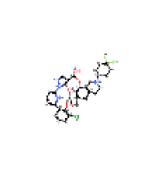 CCOc1c(C(=O)O)cnn1-c1cccc(-c2cccc(Cl)c2OCc2ccc3c(c2)CCN(C2CCC(F)(F)CC2)C3)n1